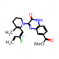 C=C/C(F)=C\C1=C(C)CCCN1c1nc2cc(C(=O)OC)ccc2[nH]c1=O